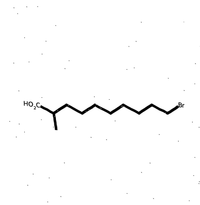 CC(CCCCCCCCBr)C(=O)O